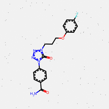 NC(=O)c1ccc(-n2nnn(CCCOc3ccc(F)cc3)c2=O)cc1